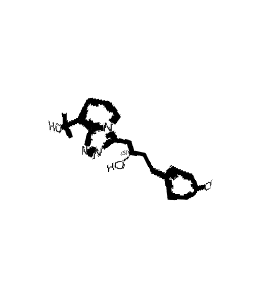 CC(C)(O)c1cccn2c(C[C@@H](O)CCc3ccc(Cl)cc3)nnc12